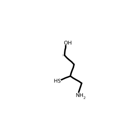 NCC(S)C[C]O